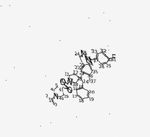 C=C(C)N1CCC(S(=O)(=O)N2CCC(Cc3ccccc3)(c3cc4cnn(-c5ccc(F)cc5)c4cc3C)C2)CC1